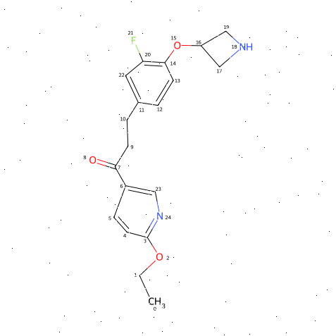 CCOc1ccc(C(=O)CCc2ccc(OC3CNC3)c(F)c2)cn1